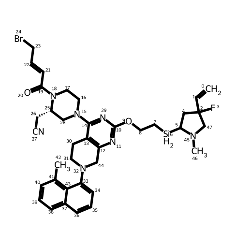 C=CC1(F)CC([SiH2]CCOc2nc3c(c(N4CCN(C(=O)/C=C/CBr)[C@@H](CC#N)C4)n2)CCN(c2cccc4cccc(C)c24)C3)N(C)C1